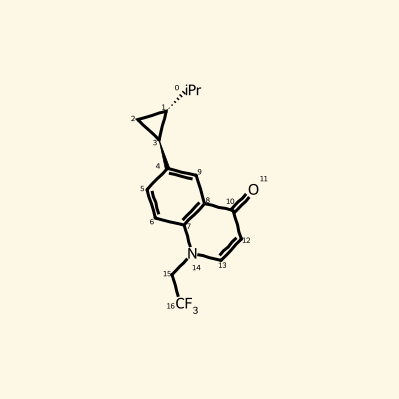 CC(C)[C@H]1C[C@@H]1c1ccc2c(c1)c(=O)ccn2CC(F)(F)F